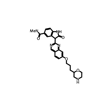 CNC(=O)c1ccc2c(c1)C(c1ncc3ccc(OCCCC4CNCCO4)cc3n1)C(=O)N2